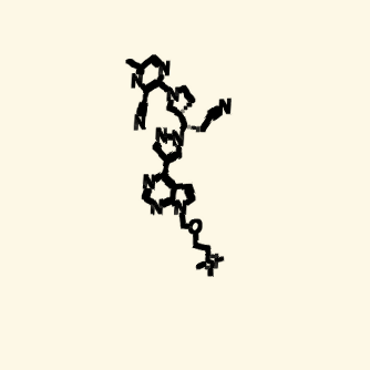 Cc1cnc(N2CC[C@H]([C@H](CC#N)n3cc(-c4ncnc5c4ccn5COCC[Si](C)(C)C)cn3)C2)c(C#N)n1